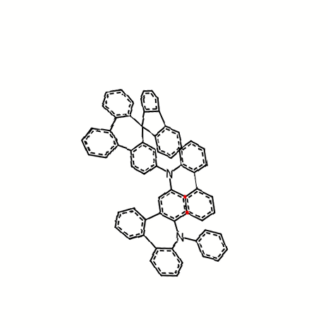 c1ccc(-c2ccccc2N(c2ccc3c(c2)-c2ccccc2-c2ccccc2N3c2ccccc2)c2ccc3c(c2)C2(c4ccccc4-c4ccccc4-3)c3ccccc3-c3ccccc32)cc1